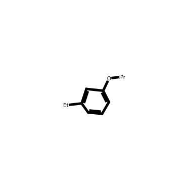 [CH2]C(C)Oc1cccc(CC)c1